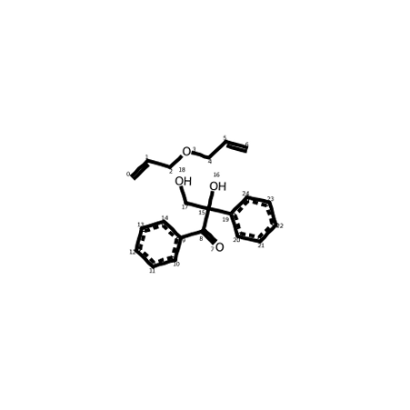 C=CCOCC=C.O=C(c1ccccc1)C(O)(CO)c1ccccc1